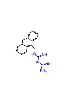 N=C(N)NC(=N)NCc1c2ccccc2cc2ccccc12